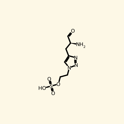 N[C@H](C=O)Cc1cn(CCOS(=O)(=O)O)nn1